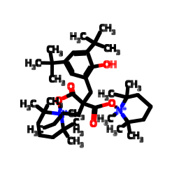 CCCCC(Cc1cc(C(C)(C)C)cc(C(C)(C)C)c1O)(C(=O)O[N+]1(C)C(C)(C)CCCC1(C)C)C(=O)O[N+]1(C)C(C)(C)CCCC1(C)C